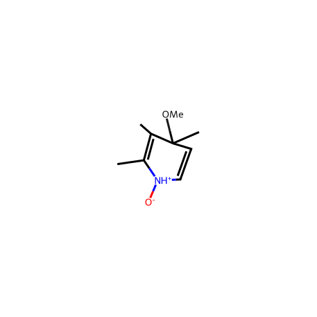 COC1(C)C=C[NH+]([O-])C(C)=C1C